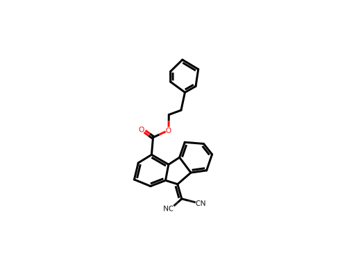 N#CC(C#N)=C1c2ccccc2-c2c(C(=O)OCCc3ccccc3)cccc21